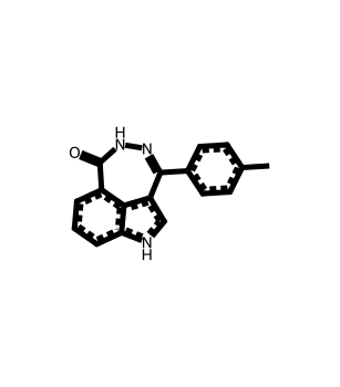 Cc1ccc(C2=NNC(=O)c3cccc4[nH]cc2c34)cc1